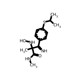 CNC(=O)C(C)(NO)C(=N)c1ccc(SC(C)C)cc1